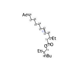 CCCCC(CC)COC(=O)CC(CC)C/C=C/CCCCCCC(C)=O